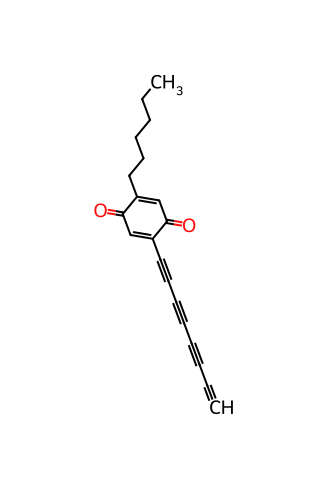 C#CC#CC#CC#CC1=CC(=O)C(CCCCCC)=CC1=O